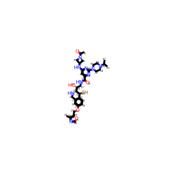 CC(=O)N1CC(Nc2cc(C(=O)NC[C@@H](O)[C@H]3NCc4cc(OCc5ocnc5C)ccc4C3S)nc(N3CCN(C(C)C)CC3)n2)C1